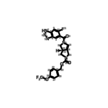 O=C(c1cc2nn[nH]c2cc1F)N1C=C2CN(C(=O)OCc3ccc(OC(F)(F)F)cc3)C[C@@H]2C1